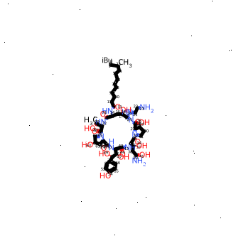 CCC(C)CC(C)CCCCCCCCC(=O)N[C@H]1C[C@@H](O)[C@@H](NCCN)NC(=O)[C@@H]2[C@@H](O)CCN2C(=O)[C@H]([C@H](O)C[C@@H](N)O)NC(=O)[C@H]([C@H](O)[C@@H](O)c2ccc(O)cc2)NC(=O)[C@@H]2C[C@@H](O)CN2C(=O)[C@H]([C@@H](C)O)NC1=O